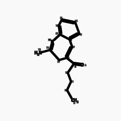 CCCCC(=O)C1=Cc2ccccc2N=C(N)C1